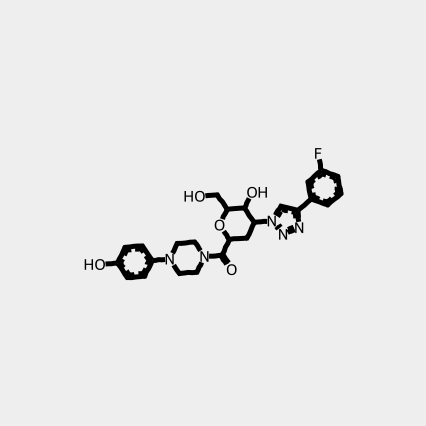 O=C(C1CC(n2cc(-c3cccc(F)c3)nn2)C(O)C(CO)O1)N1CCN(c2ccc(O)cc2)CC1